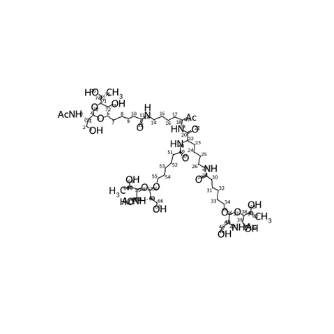 CC(=O)N[C@@H](CO)C(OCCCCCC(=O)NCCCCC(NC(=O)C(CCCCNC(=O)CCCCCOC(OC(CO)[C@@H](C)O)[C@H](CO)NC(C)=O)NC(=O)CCCCCOC(OC(CO)[C@@H](C)O)[C@H](CO)NC(C)=O)C(C)=O)OC(CO)[C@@H](C)O